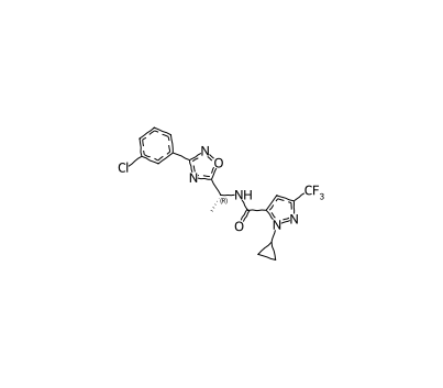 C[C@@H](NC(=O)c1cc(C(F)(F)F)nn1C1CC1)c1nc(-c2cccc(Cl)c2)no1